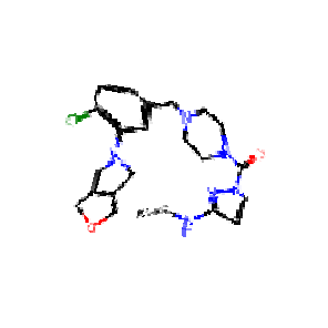 CSNc1ccn(C(=O)N2CCN(Cc3ccc(Cl)c(N4CC5COCC5C4)c3)CC2)n1